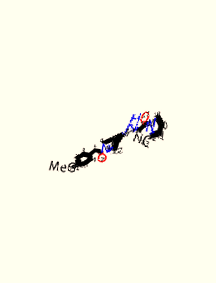 COc1ccc(CC(=O)N2CC3C(C2)C3NCC(=O)N2CCC[C@H]2C#N)cc1